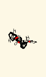 COCCNC(=O)c1ccc(N2[C@@H]3CC[C@H]2C[C@@H](NC(=O)c2cccc(OC)c2C)C3)nc1